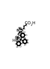 O=C(O)CCCn1cc(COP(=O)(O)C(c2ccccc2)(c2ccccc2)c2ccccc2)nn1